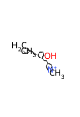 C=C/C=C(\C=C/C)/C=C/c1ccc(O)c(/C=C/c2cc[n+](C)cc2)c1